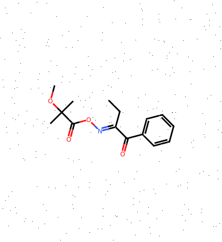 CC/C(=N\OC(=O)C(C)(C)OC)C(=O)c1ccccc1